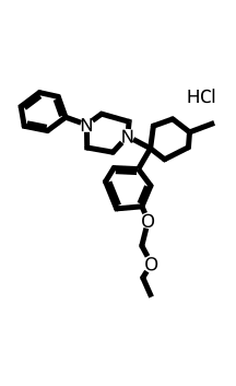 CCOCOc1cccc(C2(N3CCN(c4ccccc4)CC3)CCC(C)CC2)c1.Cl